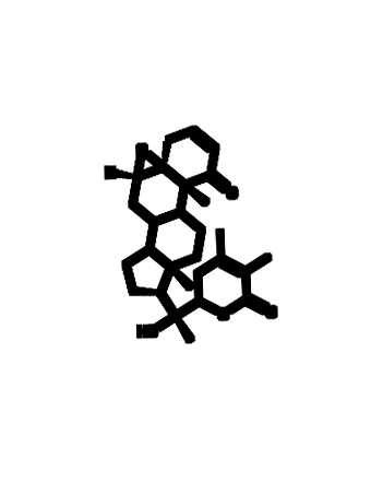 CC1=C(C)C(=O)OC([C@](C)(O)[C@H]2CCC3C4C[C@H]5O[C@]56CC=CC(=O)[C@]6(C)C4CC[C@@]32C)C1